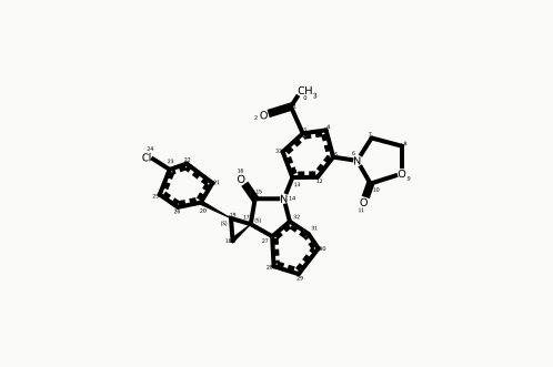 CC(=O)c1cc(N2CCOC2=O)cc(N2C(=O)[C@]3(C[C@H]3c3ccc(Cl)cc3)c3ccccc32)c1